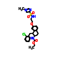 CCOC(=O)NC1CCc2ccc(OCCNS(=O)(=O)c3cn(C)cn3)cc2C1Cc1ccccc1Cl